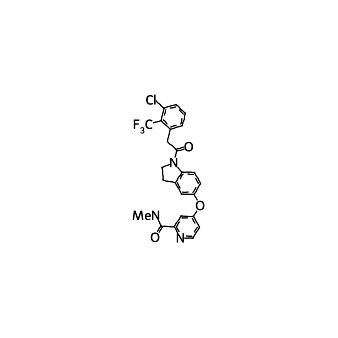 CNC(=O)c1cc(Oc2ccc3c(c2)CCN3C(=O)Cc2cccc(Cl)c2C(F)(F)F)ccn1